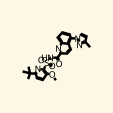 COc1ccc(C(C)(C)C)nc1S(=O)(=O)NC(=O)c1ccc2c(-n3ccc(C)n3)cccc2n1